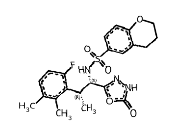 Cc1ccc(F)c([C@@H](C)[C@H](NS(=O)(=O)c2ccc3c(c2)CCCO3)c2n[nH]c(=O)o2)c1C